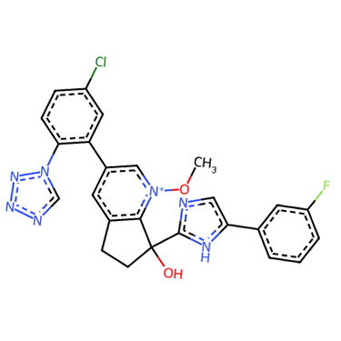 CO[n+]1cc(-c2cc(Cl)ccc2-n2cnnn2)cc2c1C(O)(c1ncc(-c3cccc(F)c3)[nH]1)CC2